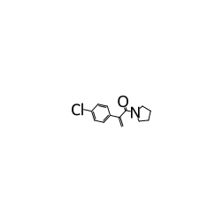 C=C(C(=O)N1CCCC1)c1ccc(Cl)cc1